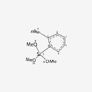 CCCCc1ccccc1[Si](OC)(OC)OC